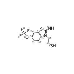 N=c1sc2cc(OC(F)(F)F)ccc2n1CCS